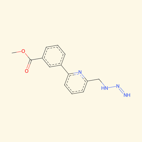 COC(=O)c1cccc(-c2cccc(CNN=N)n2)c1